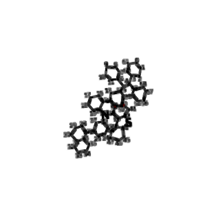 c1ccc(-c2c(-c3ccccc3)c3cc(-c4ccccc4N(c4cccc(-c5cccc6ccccc56)c4)c4cccc5sc6ccccc6c45)ccc3c3ccccc23)cc1